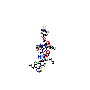 Cc1ncsc1-c1ccc([C@H](C)NC(=O)[C@@H]2C[C@@H](OC=O)CN2C(=O)[C@@H](NC(=O)COCC2CCNCC2)C(C)(C)C)cc1Cl